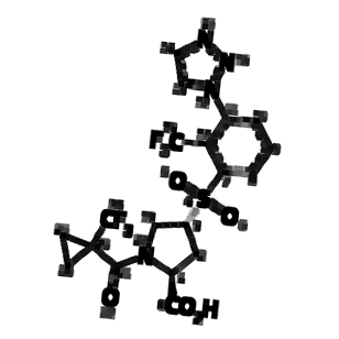 O=C(O)[C@@H]1C[C@@H](S(=O)(=O)c2cccc(-n3ccnn3)c2C(F)(F)F)CN1C(=O)C1(C(F)(F)F)CC1